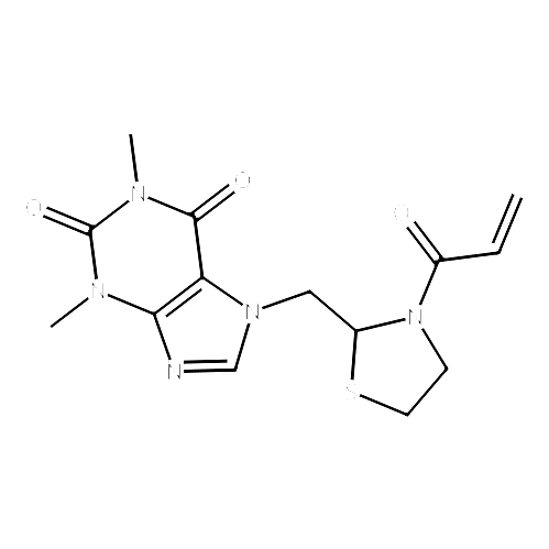 C=CC(=O)N1CCSC1Cn1cnc2c1c(=O)n(C)c(=O)n2C